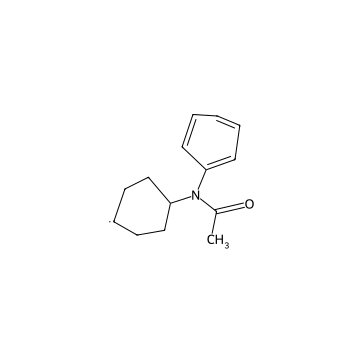 CC(=O)N(c1ccccc1)C1CC[CH]CC1